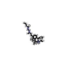 C=C(OC)/C(F)=C1\C(=C)c2ccc(CC/C(C)=C/C=C(\C)CCC)c(F)c2C(F)(F)C1(F)F